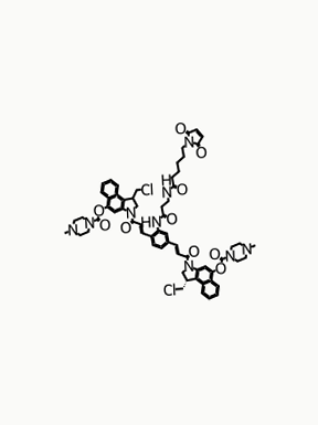 CN1CCN(C(=O)Oc2cc3c(c4ccccc24)C(CCl)CN3C(=O)/C=C/c2ccc(/C=C/C(=O)N3C[C@@H](CCl)c4c3cc(OC(=O)N3CCN(C)CC3)c3ccccc43)cc2NC(=O)CCNC(=O)CCCCCN2C(=O)C=CC2=O)CC1